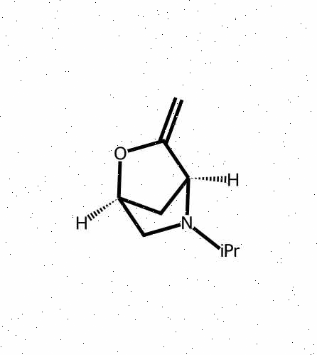 C=C1O[C@H]2C[C@@H]1N(C(C)C)C2